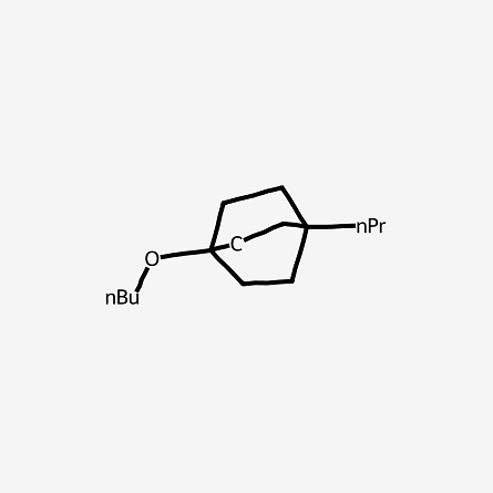 CCCCOC12CCC(CCC)(CC1)CC2